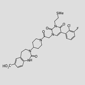 CSCCn1c(=O)c(-c2cccc(F)c2Cl)cn(CC(=O)N2CCC(N3CCc4cc(C(=O)O)ccc4NC3=O)CC2)c1=O